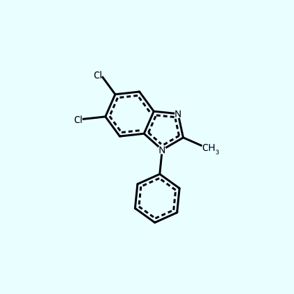 Cc1nc2cc(Cl)c(Cl)cc2n1-c1ccccc1